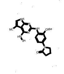 COc1cc(N2CCCC2=O)ccc1Nc1nc(NC(C)C)c2c(C#N)c[nH]c2n1